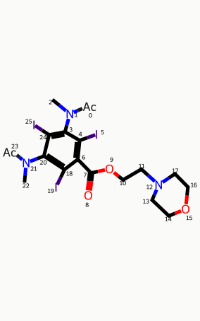 CC(=O)N(C)c1c(I)c(C(=O)OCCN2CCOCC2)c(I)c(N(C)C(C)=O)c1I